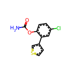 NC(=O)Oc1ccc(Cl)cc1-c1ccsc1